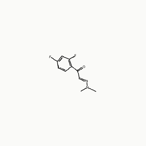 CN(C)/N=C/C(=O)c1ccc(F)cc1F